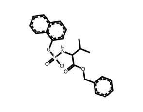 CC(C)C(NP(=O)(Cl)Oc1cccc2ccccc12)C(=O)OCc1ccccc1